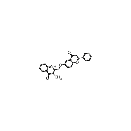 Cc1c(COc2ccc3oc(-c4ccccc4)cc(=O)c3c2)[nH]c2ccccc2c1=O